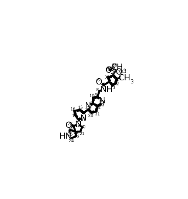 Cc1ccc(C(=O)NCc2cc3nc(-c4cccc(N5CCC6(CCNC6)C5=O)n4)ccc3cn2)cc1S(C)(=O)=O